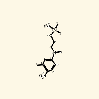 Cc1cc(N(C)CCO[Si](C)(C)C(C)(C)C)ccc1[N+](=O)[O-]